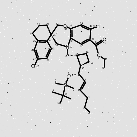 CCC/C=C/[C@H](O[Si](C)(C)C(C)(C)C)[C@@H]1CC[C@H]1CN1C[C@@]2(CCCc3cc(Cl)ccc32)COc2cc(Cl)c(C(=O)OCC)cc21